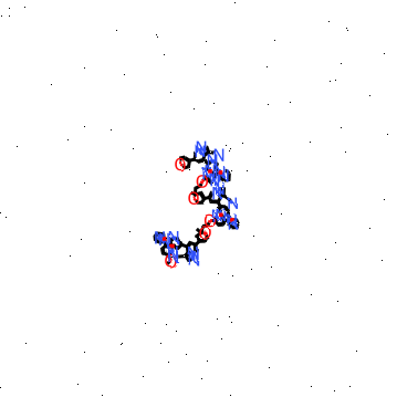 COc1ccc(CN2C3CC2CN(c2ccc(-c4cc(C5=CCOC(C)(CCOc6ccc(CN7C8CC7CN(c7ccc(-c9cc(C%10=CC(C)(CCOc%11cnc(CN%12C%13CC%12CN(c%12cnc(-c%14cc(C%15=CCOCC%15)cn%15ncc(C#N)c%14%15)cn%12)C%13)cn%11)OCC%10)cn%10ncc(C#N)c9%10)cn7)C8)cn6)C5)cn5ncc(C#N)c45)cn2)C3)cn1